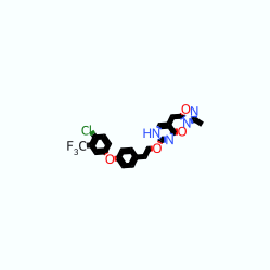 Cc1noc(Cc2c[nH]c(OCCc3ccc(Oc4ccc(Cl)c(C(F)(F)F)c4)cc3)nc2=O)n1